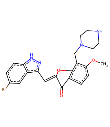 COc1ccc2c(c1CN1CCNCC1)OC(=Cc1n[nH]c3ccc(Br)cc13)C2=O